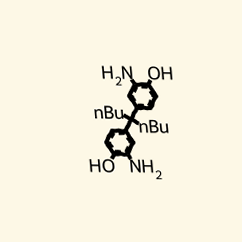 CCCCC(CCCC)(c1ccc(O)c(N)c1)c1ccc(O)c(N)c1